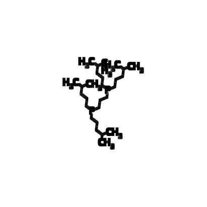 CC(C)CCCP(CCCC(C)C)CCCP(CCCC(C)C)CCCC(C)C